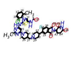 Cc1nc(NC2SC(NC=O)=CN2c2c(C)cccc2Cl)cc(N2CCC(CN3CCC(c4cc5c(cc4F)C(=O)N(C4CCC(=O)NC4=O)C5=O)CC3)CC2)n1